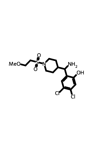 COCCS(=O)(=O)N1CCC(C(N)c2cc(Cl)c(Cl)cc2O)CC1